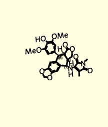 COc1cc([C@@H]2c3cc4c(cc3[C@@H](NC3=C(C)C(=O)N(C)C3=O)[C@H]3COC(=O)[C@H]23)OCO4)cc(OC)c1O